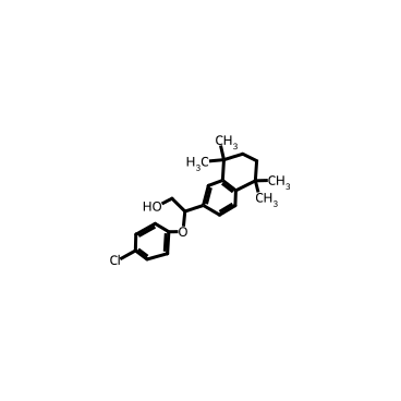 CC1(C)CCC(C)(C)c2cc(C(CO)Oc3ccc(Cl)cc3)ccc21